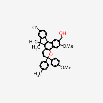 [C-]#[N+]c1ccc2c(c1)C(C)(C)c1c3c(c4cc(OC)c(CO)cc4c1-2)OC(c1ccc(C)cc1)(c1ccc(OC)cc1)C=C3